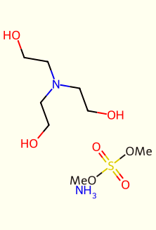 COS(=O)(=O)OC.N.OCCN(CCO)CCO